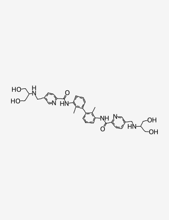 Cc1c(NC(=O)c2ccc(CNC(CO)CO)cn2)cccc1-c1cccc(NC(=O)c2ccc(CNC(CO)CO)cn2)c1C